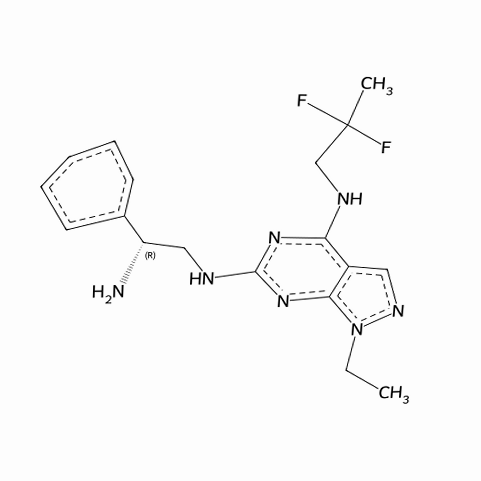 CCn1ncc2c(NCC(C)(F)F)nc(NC[C@H](N)c3ccccc3)nc21